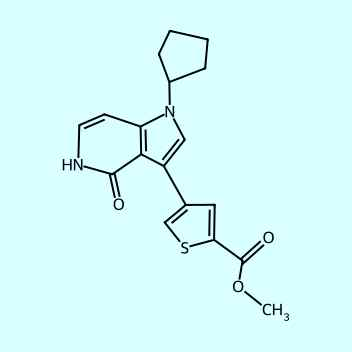 COC(=O)c1cc(-c2cn(C3CCCC3)c3cc[nH]c(=O)c23)cs1